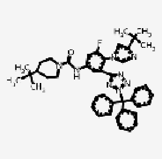 CC(C)(C)c1cn(-c2c(F)cc(NC(=O)N3CCC(C(C)(C)C)CC3)cc2-c2nnn(C(c3ccccc3)(c3ccccc3)c3ccccc3)n2)cn1